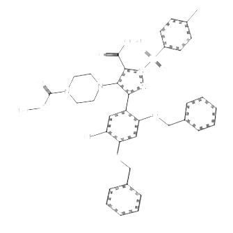 Cc1ccc(S(=O)(=O)n2nc(-c3cc(Cl)c(OCc4ccccc4)cc3OCc3ccccc3)c(N3CCN(C(=O)OC(C)(C)C)CC3)c2C(=O)OCC(C)C)cc1